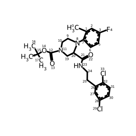 Cc1cc(F)ccc1N1CCN(C(=O)OC(C)(C)C)CC1C(=O)NCCc1cc(Cl)ccc1Cl